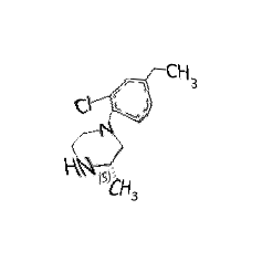 CCc1ccc(N2CCN[C@@H](C)C2)c(Cl)c1